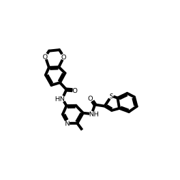 Cc1ncc(NC(=O)c2ccc3c(c2)OCCO3)cc1NC(=O)c1cc2ccccc2s1